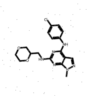 Cn1ncc2c(Nc3ccc(Cl)cc3)nc(NCC3COCCO3)nc21